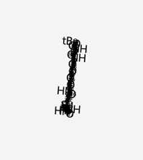 CC(C)(C)OC(=O)NOCC(=O)NCCOCCOCCOCCOCCNC(=O)CCCC[C@@H]1SC[C@@H]2NC(=O)N[C@@H]21